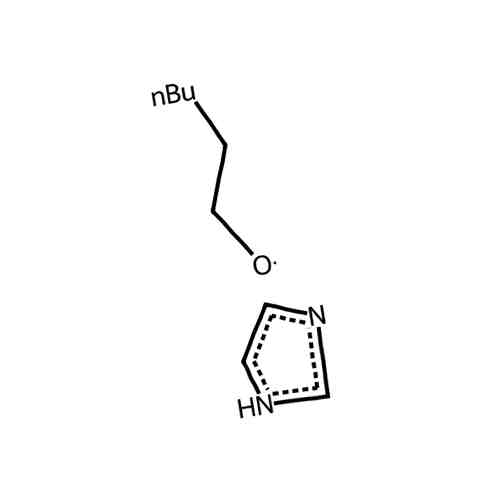 CCCCCC[O].c1c[nH]cn1